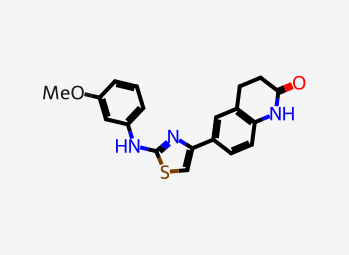 COc1cccc(Nc2nc(-c3ccc4c(c3)CCC(=O)N4)cs2)c1